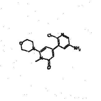 Cn1c(N2CCOCC2)cc(-c2cc(N)cnc2Cl)cc1=O